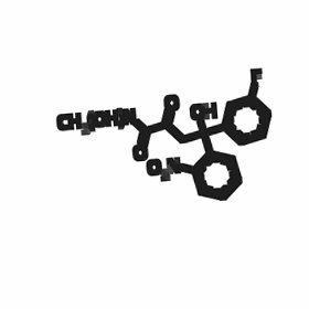 CN(O)C(=O)C(=O)CC(O)(c1cccc(F)c1)c1ccccc1[N+](=O)[O-]